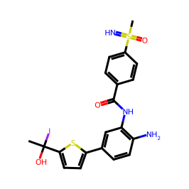 CC(O)(I)c1ccc(-c2ccc(N)c(NC(=O)c3ccc(S(C)(=N)=O)cc3)c2)s1